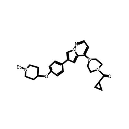 CCN1CCC(Oc2ccc(-c3cc4c(N5CCN(C(=O)C6CC6)CC5)ccnn4c3)cc2)CC1